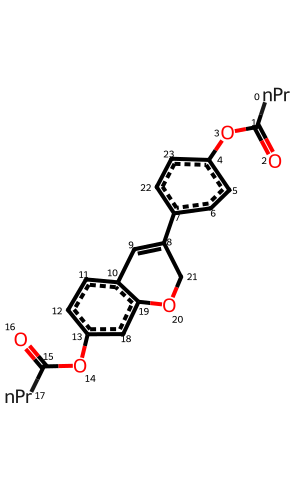 CCCC(=O)Oc1ccc(C2=Cc3ccc(OC(=O)CCC)cc3OC2)cc1